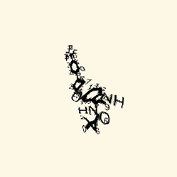 CC1(C)CC1C(=O)Nc1c[nH]c2ccc(O[C@H]3C[C@H](c4ccc(C(F)(F)F)cc4)C3)cc12